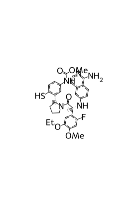 CCOc1cc([C@@H](Nc2ccc3c(N)nccc3c2)C(=O)N2CCC[C@@H]2c2cc(NC(=O)OC)ccc2S)c(F)cc1OC